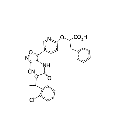 CC(OC(=O)Nc1c(C#N)noc1-c1ccc(OC(Cc2ccccc2)C(=O)O)nc1)c1ccccc1Cl